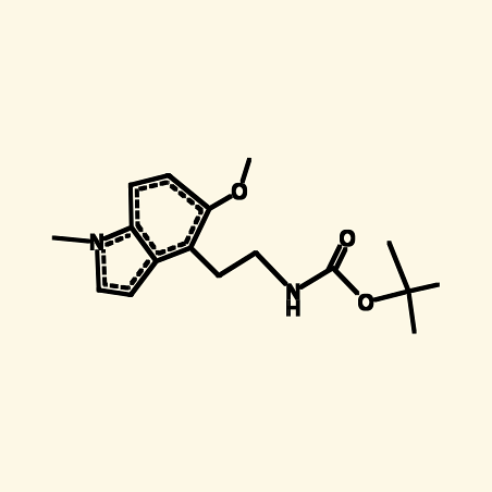 COc1ccc2c(ccn2C)c1CCNC(=O)OC(C)(C)C